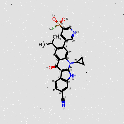 CC(C)c1cc2c(=O)c3c4ccc(C#N)cc4[nH]c3n(C3CC3)c2cc1-c1cncc(S(=O)(=O)F)c1